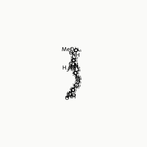 COc1ccc(C)cc1C(=O)NCc1ccc(-c2nn3c(c2C(N)=O)Nc2ccc(N4CCN(CC5CCN(c6ccc(N7CCC(=O)NC7=O)cc6)CC5)CC4)cc2CC3)cc1C